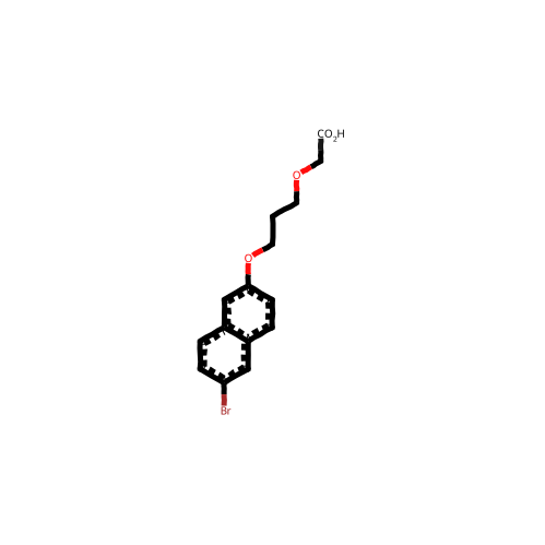 O=C(O)COCCCOc1ccc2cc(Br)ccc2c1